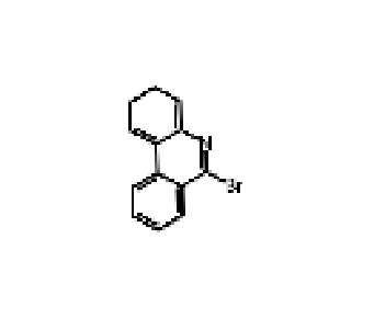 Brc1nc2c(c3ccccc13)=CCCC=2